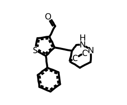 O=Cc1csc(-c2ccccc2)c1C1CNN2CCC1CC2